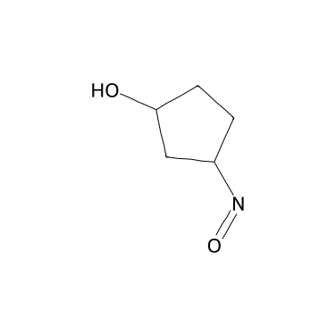 O=NC1CCC(O)C1